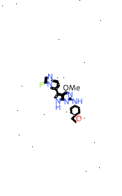 COc1nc(N[C@H]2CC[C@@]3(CCO3)CC2)nc2[nH]cc(-c3ccc4ncc(F)n4c3)c12